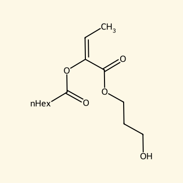 CC=C(OC(=O)CCCCCC)C(=O)OCCCO